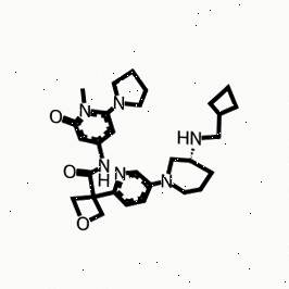 Cn1c(N2CCCC2)cc(NC(=O)C2(c3ccc(N4CCC[C@@H](NCC5CCC5)C4)cn3)COC2)cc1=O